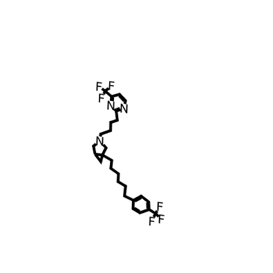 FC(F)(F)c1ccc(CCCCCCC23CC2CN(CCCCc2nccc(C(F)(F)F)n2)C3)cc1